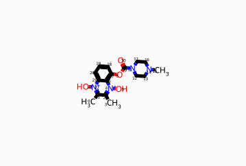 Cc1c(C)[n+](O)c2c(OC(=O)N3CCN(C)CC3)cccc2[n+]1O